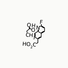 CCC(=O)O.O=C(O)Cc1ccc2nc(F)ccc2c1